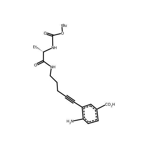 CC[C@H](NC(=O)OC(C)(C)C)C(=O)NCCCC#Cc1cc(C(=O)O)ccc1N